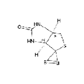 O=C1N[C@H]2CSC3(B=B3)[C@H]2N1